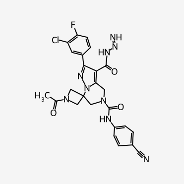 CC(=O)N1CC2(C1)CN(C(=O)Nc1ccc(C#N)cc1)Cc1c(C(=O)NN=N)c(-c3ccc(F)c(Cl)c3)nn12